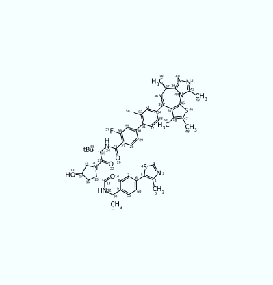 Cc1ncsc1-c1ccc([C@H](C)NC(=O)[C@@H]2C[C@@H](O)CN2C(=O)[C@@H](NC(=O)c2ccc(-c3ccc(C4=N[C@@H](C)c5nnc(C)n5-c5sc(C)c(C)c54)cc3F)cc2F)C(C)(C)C)cc1